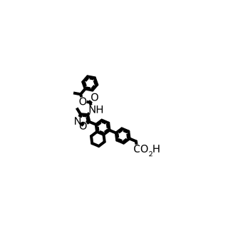 Cc1noc(-c2ccc(-c3ccc(CC(=O)O)cc3)c3c2CCCC3)c1NC(=O)OC(C)c1ccccc1